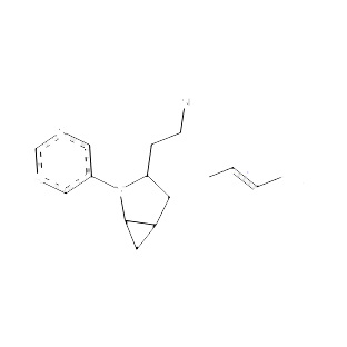 NCCC1CC2CC2N1c1cncnc1.O=C(O)/C=C/C(=O)O